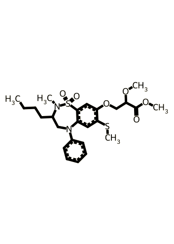 CCCCC1CN(c2ccccc2)c2cc(SC)c(OCC(OC)C(=O)OC)cc2S(=O)(=O)N1C